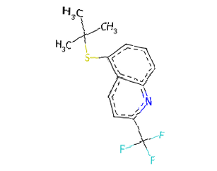 CC(C)(C)Sc1cccc2nc(C(F)(F)F)ccc12